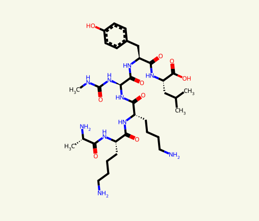 CNC(=O)N[C@H](NC(=O)[C@H](CCCCN)NC(=O)[C@H](CCCCN)NC(=O)[C@H](C)N)C(=O)N[C@@H](Cc1ccc(O)cc1)C(=O)N[C@@H](CC(C)C)C(=O)O